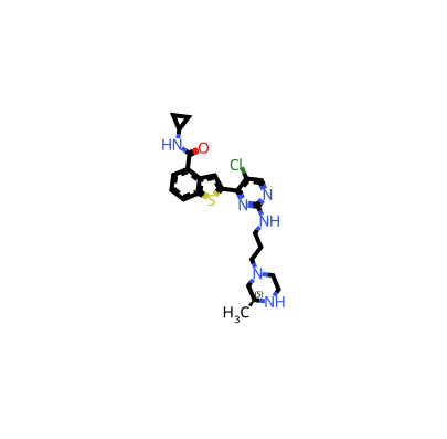 C[C@H]1CN(CCCNc2ncc(Cl)c(-c3cc4c(C(=O)NC5CC5)cccc4s3)n2)CCN1